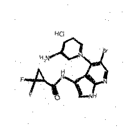 Cl.NC1CCCN(c2c(Br)cnc3[nH]cc(NC(=O)C4CC4(F)F)c23)C1